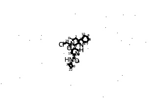 C[C@H]1Cc2c([nH]c3ccccc23)[C@H](C2C=CC(C(=O)NC3CCC3)=NC2)N1C(=O)CCl